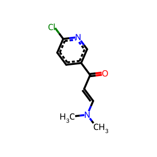 CN(C)/C=C/C(=O)c1ccc(Cl)nc1